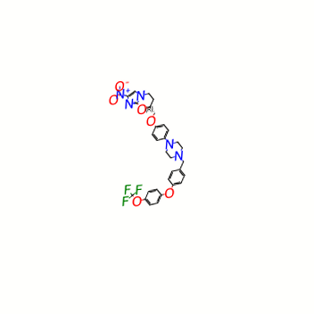 O=[N+]([O-])c1cn2c(n1)O[C@@H](COc1ccc(N3CCN(Cc4ccc(Oc5ccc(OC(F)(F)F)cc5)cc4)CC3)cc1)CC2